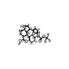 COC(=O)c1cnc2[nH]cc(-c3ccco3)c2c1C1=CCCC(NC(=O)OC(C)(C)C)C1